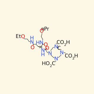 CCCOCCCNC(=O)[C@H](CCC(=O)NCCCOCC)NC(=O)CN1CCN(CC(=O)O)CCN(CC(=O)O)CCN(CC(=O)O)CC1